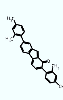 Cc1ccc(C2=CC=C3C(=Cc4cc(-c5ccc(C)cc5C)ccc43)C2=O)c(C)c1